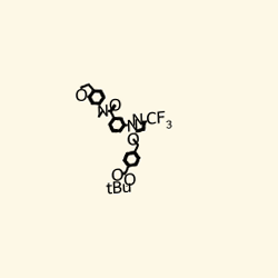 CN(C(=O)c1cccc(-n2nc(C(F)(F)F)cc2OCc2ccc(C(=O)OC(C)(C)C)cc2)c1)c1ccc2c(c1)OCC2